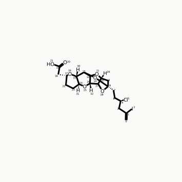 C=C(I)C[C@H](Cl)CC[C@@]12C[C@H]3OC4C(O1)[C@H]1O[C@@H](CC(=O)O)CC[C@@H]1O[C@H]4C3O2